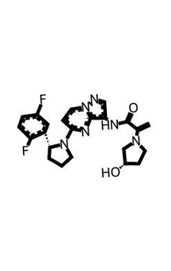 C=C(C(=O)Nc1cnn2ccc(N3CCC[C@@H]3c3cc(F)ccc3F)nc12)N1CC[C@H](O)C1